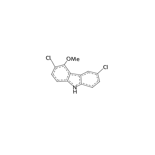 COc1c(Cl)ccc2[nH]c3ccc(Cl)cc3c12